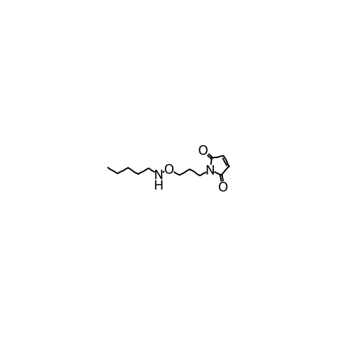 CCCCCNOCCCN1C(=O)C=CC1=O